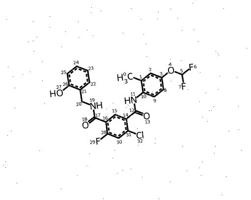 Cc1cc(OC(F)F)ccc1NC(=O)c1cc(C(=O)NCc2ccccc2O)c(F)cc1Cl